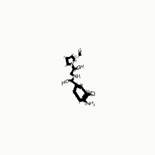 Nc1ccc(C(O)NCC(O)N2CCC[C@@H]2C=O)cc1Cl